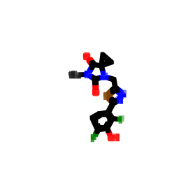 CC(C)(C)N1C(=O)N(Cc2nnc(-c3ccc(F)c(O)c3F)s2)C2(CC2)C1=O